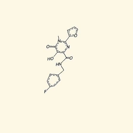 Cn1c(-c2ccco2)nc(C(=O)NCc2ccc(F)cc2)c(O)c1=O